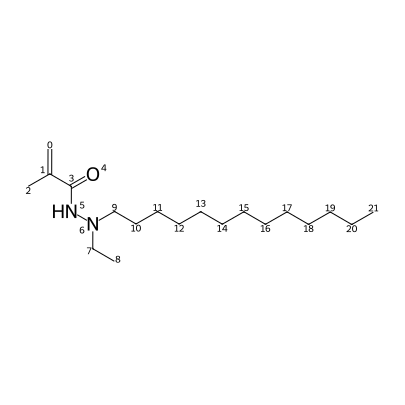 C=C(C)C(=O)NN(CC)CCCCCCCCCCCCC